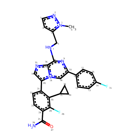 Cn1nccc1CNc1nc(-c2ccc(F)cc2)cn2c(-c3ccc(C(N)=O)c(F)c3C3CC3)cnc12